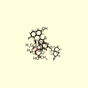 CC(C)[Si](C#Cc1c(F)ccc2cc(O)cc(-c3ccc4c(N5CCC[C@@](C)(O)C5)nc(OC[C@@]56CCCN5C[C@H](F)C6)nc4c3F)c12)(C(C)C)C(C)C